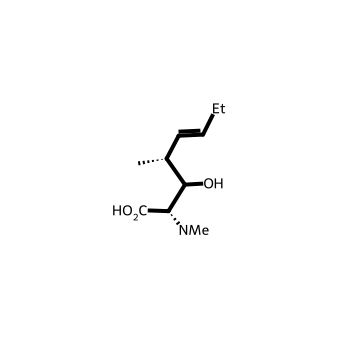 CC/C=C/[C@@H](C)C(O)[C@H](NC)C(=O)O